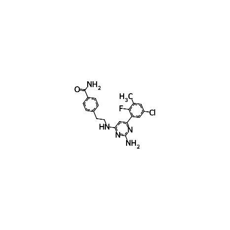 Cc1cc(Cl)cc(-c2cc(NCCc3ccc(C(N)=O)cc3)nc(N)n2)c1F